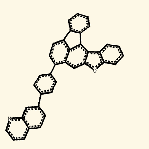 c1ccc2c(c1)-c1ccc(-c3ccc(-c4ccc5cccnc5c4)cc3)c3cc4oc5ccccc5c4c-2c13